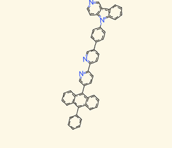 c1ccc(-c2c3ccccc3c(-c3ccc(-c4ccc(-c5ccc(-n6c7ccccc7c7cnccc76)cc5)cn4)nc3)c3ccccc23)cc1